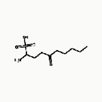 CCCCCC(=O)CCC(N)S(=O)(=O)O